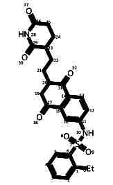 CCc1ccccc1S(=O)(=O)Nc1ccc2c(c1)C(=O)CC(CCC1CCC(=O)NC1=O)C2=O